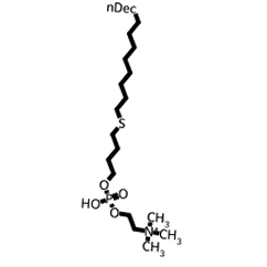 CCCCCCCCCCCCCCCCCCSCCCCOP(=O)(O)OCC[N+](C)(C)C